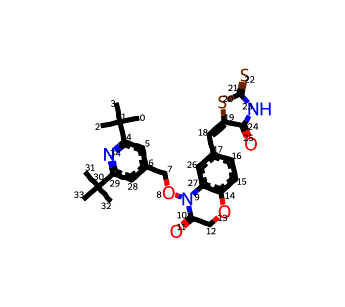 CC(C)(C)c1cc(CON2C(=O)COc3ccc(C=C4SC(=S)NC4=O)cc32)cc(C(C)(C)C)n1